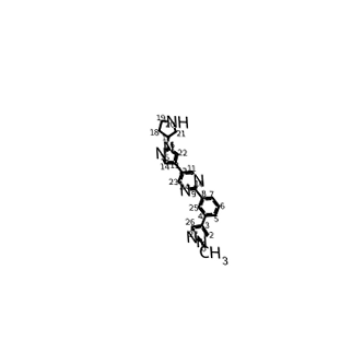 Cn1cc(-c2cccc(-c3ncc(-c4cnn(C5CCNC5)c4)cn3)c2)cn1